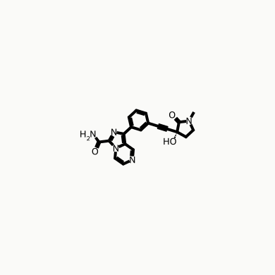 CN1CC[C@@](O)(C#Cc2cccc(-c3nc(C(N)=O)n4ccncc34)c2)C1=O